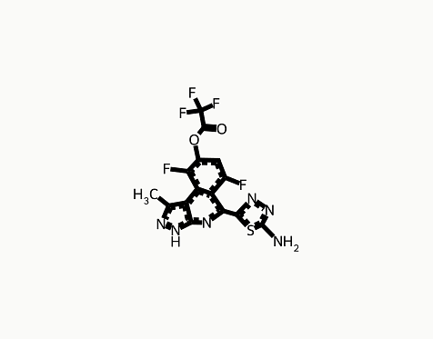 Cc1n[nH]c2nc(-c3nnc(N)s3)c3c(F)cc(OC(=O)C(F)(F)F)c(F)c3c12